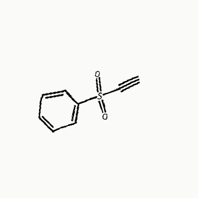 C#CS(=O)(=O)c1ccccc1